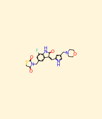 O=C1Nc2c(F)cc(CN3C(=O)CSC3=O)cc2/C1=C/c1cc(CN2CCOCC2)c[nH]1